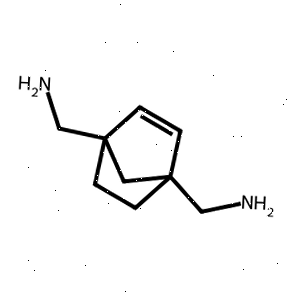 NCC12C=CC(CN)(CC1)C2